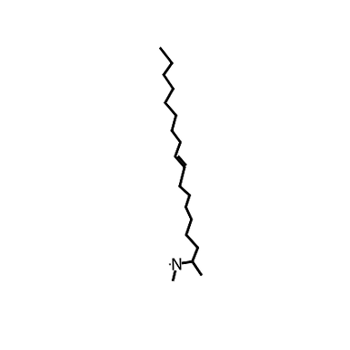 CCCCCCCCC=CCCCCCCC(C)[N]C